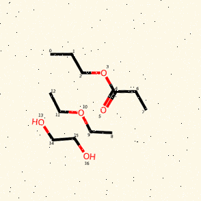 CCCOC(=O)CC.CCOCC.OCCO